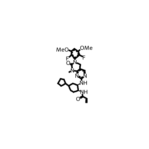 C=CC(=O)N[C@H]1CCC(C2CCCC2)C[C@H]1Nc1ncc2c(n1)N(C)C(=O)N(c1c(F)c(OC)cc(OC)c1F)C2